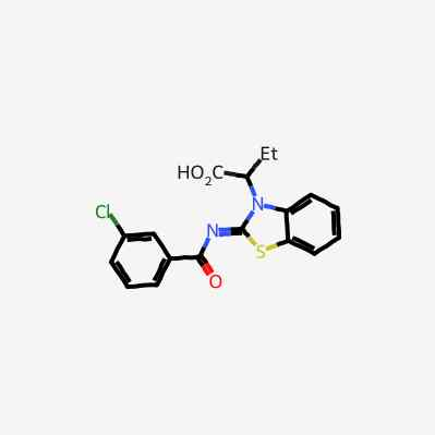 CCC(C(=O)O)n1c(=NC(=O)c2cccc(Cl)c2)sc2ccccc21